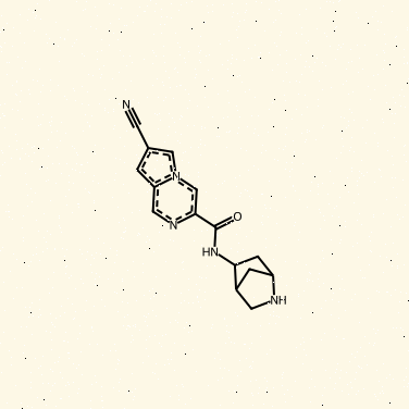 N#Cc1cc2cnc(C(=O)NC3CC4CC3CN4)cn2c1